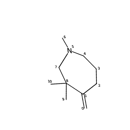 C=C1CCCN(C)CC1(C)C